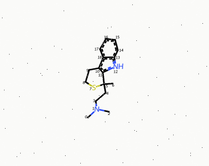 CN(C)CCC1(C)SCCc2c1[nH]c1ccccc21